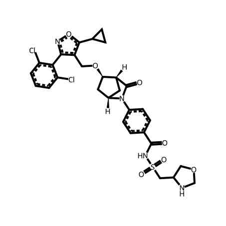 O=C(NS(=O)(=O)CC1COCN1)c1ccc(N2C(=O)[C@@H]3C[C@H]2C[C@H]3OCc2c(-c3c(Cl)cccc3Cl)noc2C2CC2)cc1